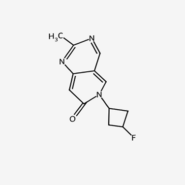 Cc1ncc2cn(C3CC(F)C3)c(=O)cc2n1